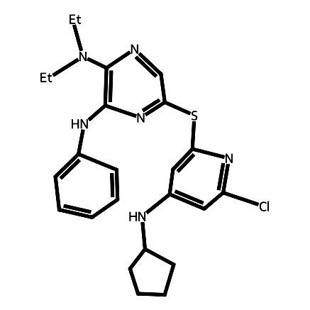 CCN(CC)c1ncc(Sc2cc(NC3CCCC3)cc(Cl)n2)nc1Nc1ccccc1